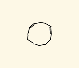 [C]1=CCCCCCCC=CCC1